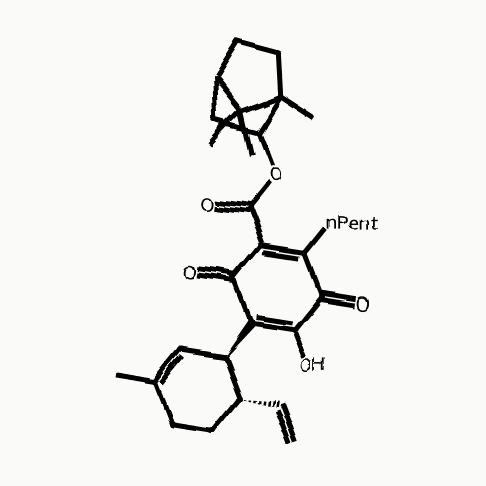 C=C[C@@H]1CCC(C)=C[C@H]1C1=C(O)C(=O)C(CCCCC)=C(C(=O)OC2CC3CCC2(C)C3(C)C)C1=O